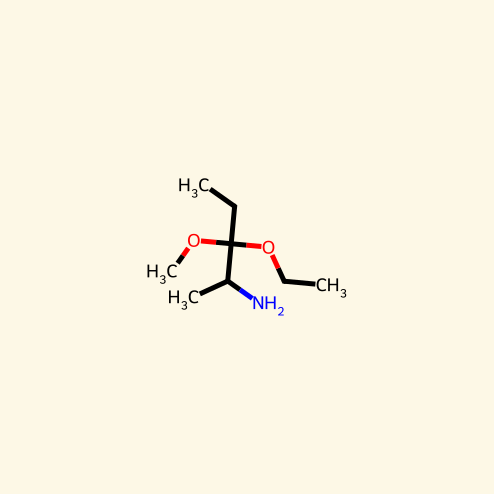 CCOC(CC)(OC)C(C)N